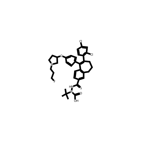 CC(C)(C)N(NC(=S)c1ccc2c(c1)CCCC(c1ccc(Cl)cc1Cl)=C2c1ccc(OC2CCN(CCCF)C2)cc1)C(=O)O